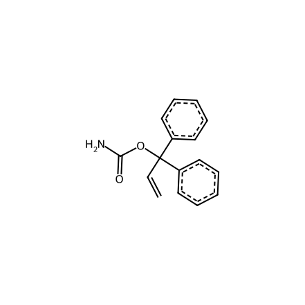 C=CC(OC(N)=O)(c1ccccc1)c1ccccc1